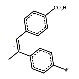 C/C(=C/c1ccc(C(=O)O)cc1)c1ccc(C(C)C)cc1